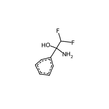 NC(O)(c1ccccc1)C(F)F